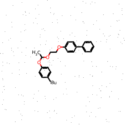 CCC(C)c1ccc(OC(C)OCCOc2ccc(-c3ccccc3)cc2)cc1